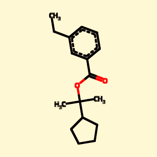 CCc1cccc(C(=O)OC(C)(C)C2CCCC2)c1